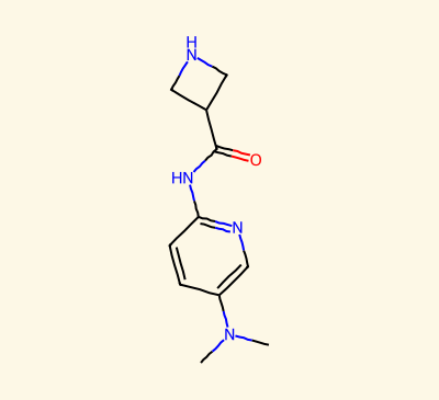 CN(C)c1ccc(NC(=O)C2CNC2)nc1